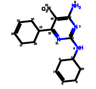 Nc1nc(NC2CC=CCC2)nc(C2CC=CCC2)c1[N+](=O)[O-]